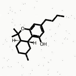 CCCCc1cc(O)c2c(c1)OC(C)(C)[C@@H]1CCC(C)C[C@@H]21